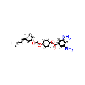 C=C/C=C\C=C(/C=C)OCOC1CCC(OC(=O)c2cc(N)cc(N)c2)CC1